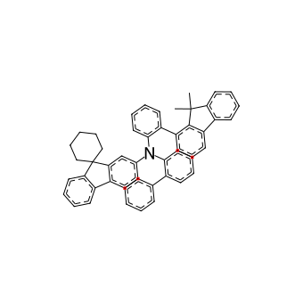 CC1(C)c2ccccc2-c2cccc(-c3ccccc3N(c3ccc4c(c3)C3(CCCCC3)c3ccccc3-4)c3ccccc3-c3ccccc3)c21